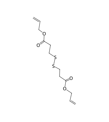 C=CCOC(=O)CCSSCCC(=O)OCC=C